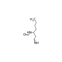 CCCCC(CC=N)NC=O